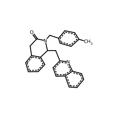 Cc1ccc(CN2C(=O)Cc3ccccc3C2Cc2ccc3ccccc3n2)cc1